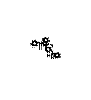 CC(CC(=O)NCc1ccccc1)(c1ccccc1)N1CCN[C@H](Cc2c[nH]c3ccccc23)C1=O